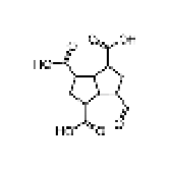 O=CC1CC(C(=O)O)C2C(C(=O)O)CC(C(=O)O)C12